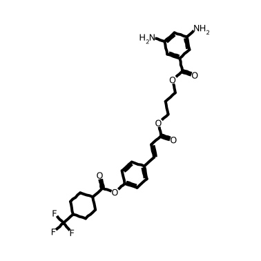 Nc1cc(N)cc(C(=O)OCCCOC(=O)C=Cc2ccc(OC(=O)C3CCC(C(F)(F)F)CC3)cc2)c1